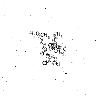 CC(C)CCCCCOC(=O)COc1ccc(Cl)cc1Cl.CCCCOC(=O)C(Cl)(Cl)Oc1ccccc1